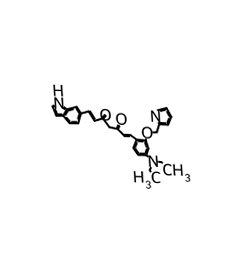 CCN(CC)c1ccc(C=CC(=O)CC(=O)C=Cc2ccc3cc[nH]c3c2)c(OCc2ccccn2)c1